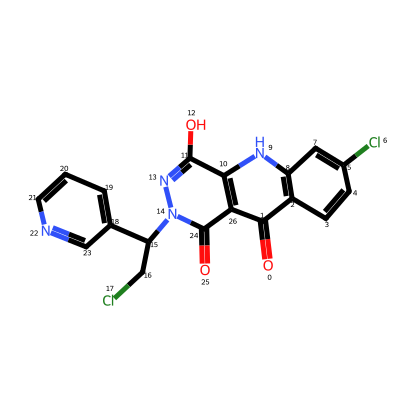 O=c1c2ccc(Cl)cc2[nH]c2c(O)nn(C(CCl)c3cccnc3)c(=O)c12